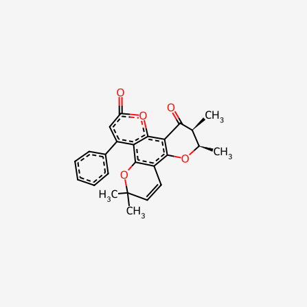 C[C@@H]1C(=O)c2c(c3c(c4c(-c5ccccc5)cc(=O)oc24)OC(C)(C)C=C3)O[C@@H]1C